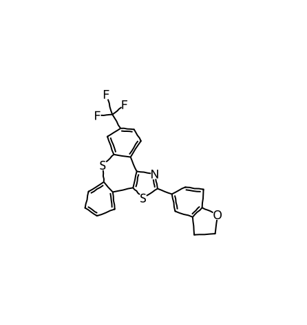 FC(F)(F)c1ccc2c(c1)Sc1ccccc1-c1sc(-c3ccc4c(c3)CCO4)nc1-2